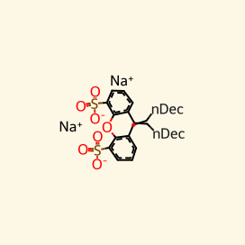 CCCCCCCCCCCCc1cccc(S(=O)(=O)[O-])c1Oc1c(CCCCCCCCCCCC)cccc1S(=O)(=O)[O-].[Na+].[Na+]